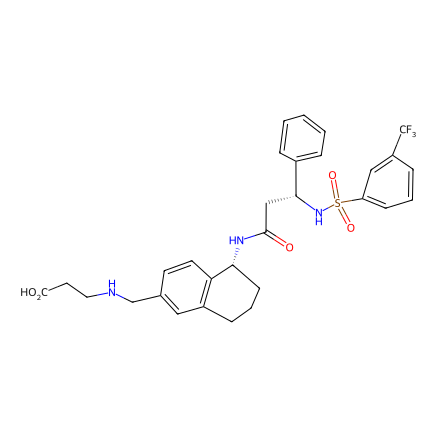 O=C(O)CCNCc1ccc2c(c1)CCC[C@H]2NC(=O)C[C@@H](NS(=O)(=O)c1cccc(C(F)(F)F)c1)c1ccccc1